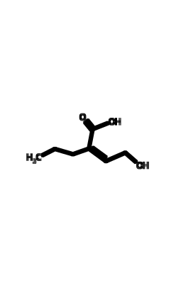 CCCC(=CCO)C(=O)O